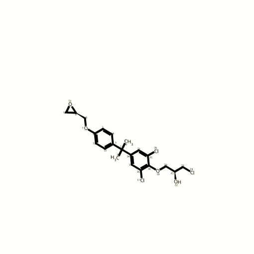 CC(C)(c1ccc(OC[C@H]2CO2)cc1)c1cc(Cl)c(OC[C@H](O)CCl)c(Cl)c1